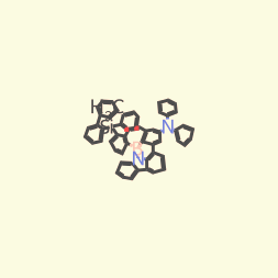 Cc1ccccc1[Si]1(c2cccc3c2C=Cc2cc(N(c4ccccc4)c4ccccc4)cc4c2B3n2c3ccccc3c3cccc-4c32)c2ccccc2-c2ccccc21